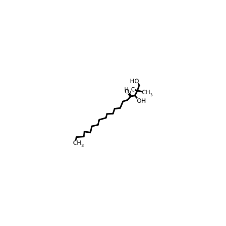 CCCCCCCCCCCCCCCC(=O)C(O)C(C)(C)CO